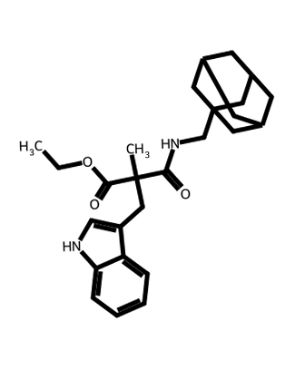 CCOC(=O)C(C)(Cc1c[nH]c2ccccc12)C(=O)NCC12CC3CC(CC(C3)C1)C2